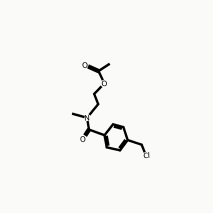 CC(=O)OCCN(C)C(=O)c1ccc(CCl)cc1